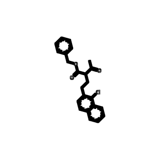 CC(=O)C(CCc1ccc2ccccc2c1Cl)C(=O)OCc1ccccc1